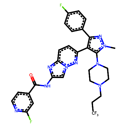 Cn1nc(-c2ccc(F)cc2)c(-c2ccc3nc(NC(=O)c4ccnc(F)c4)cn3n2)c1N1CCN(CCC(F)(F)F)CC1